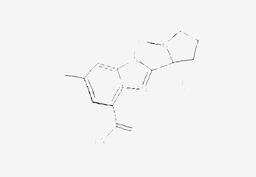 CC(C)N1CCC[C@@]1(C)c1nc2c(C(N)=O)cc(Cl)cc2[nH]1